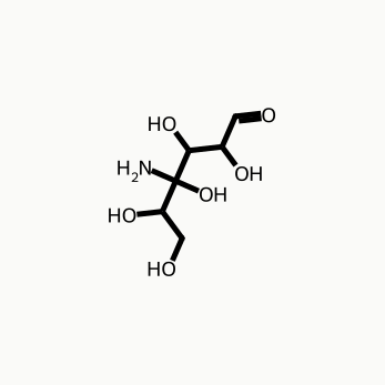 NC(O)(C(O)CO)C(O)C(O)C=O